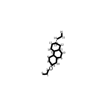 CCCO[C@H]1CCC2C(CCC3C[C@@H](CCC)CCC32)C1